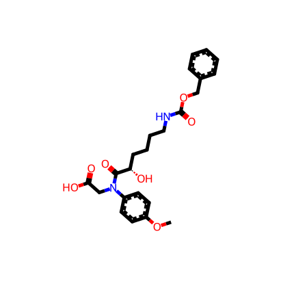 COc1ccc(N(CC(=O)O)C(=O)[C@@H](O)CCCCNC(=O)OCc2ccccc2)cc1